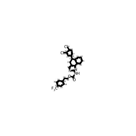 O=C(Nc1ncc2c(n1)-c1ccccc1C(c1ccc(Cl)c(Cl)c1)C2)OCCc1ccc(C(F)(F)F)cc1